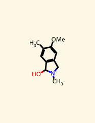 COc1cc2c(cc1C)C(O)N(C)C2